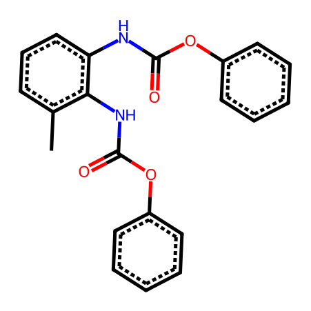 Cc1cccc(NC(=O)Oc2ccccc2)c1NC(=O)Oc1ccccc1